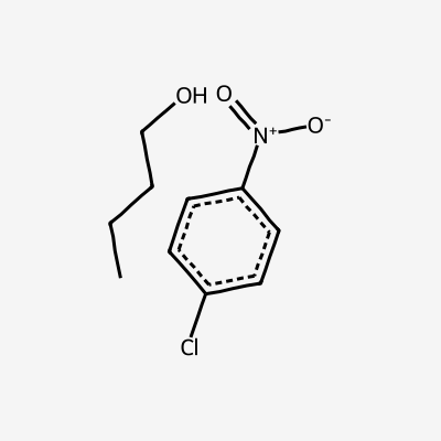 CCCCO.O=[N+]([O-])c1ccc(Cl)cc1